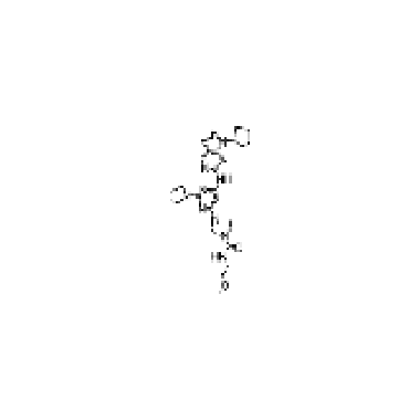 COCCNC(=O)N1CCN(c2cc(Nc3cc4c(cn3)cnn4C3CCCC3)nc(N3CCCC3)n2)CC1